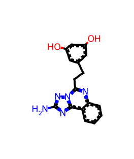 Nc1nc2c3ccccc3nc(CCc3cc(O)cc(O)c3)n2n1